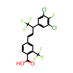 O=C(O)c1ccc(/C=C/C(c2cc(Cl)c(F)c(Cl)c2)C(F)(F)F)cc1C(F)(F)F